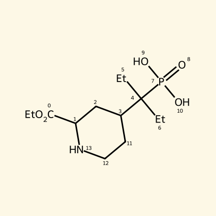 CCOC(=O)C1CC(C(CC)(CC)P(=O)(O)O)CCN1